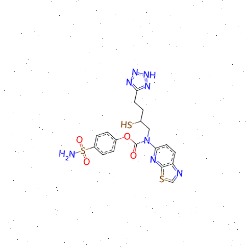 NS(=O)(=O)c1ccc(OC(=O)N(CC(S)CCc2nn[nH]n2)c2ccc3ncsc3n2)cc1